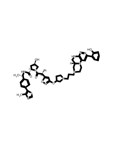 Cc1ncsc1-c1ccc([C@H](C)NC(=O)[C@@H]2C[C@@H](O)CN2C(=O)[C@@H](c2cc(OC3CCN(CCCN4CCN5c6cc(-c7ccccc7O)nnc6NC[C@H]5C4)C3)no2)C(C)C)cc1